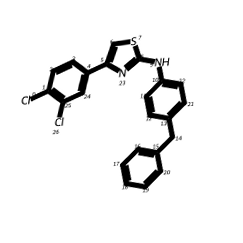 Clc1ccc(-c2csc(Nc3ccc(Cc4ccccc4)cc3)n2)cc1Cl